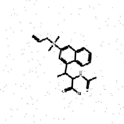 C=CC[Si](C)(C)c1cc(C(C)C(NC(C)=O)C(=O)O)c2ccccc2c1